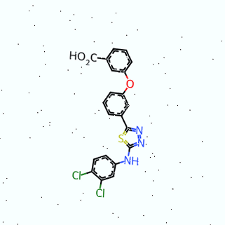 O=C(O)c1cccc(Oc2cccc(-c3nnc(Nc4ccc(Cl)c(Cl)c4)s3)c2)c1